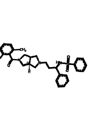 Cc1cccc(C)c1C(=O)N1CC2CN(CCC(NS(=O)(=O)c3ccccc3)c3ccccc3)C[C@H]2C1